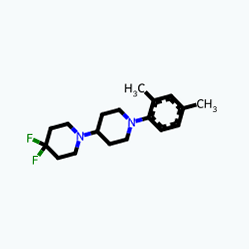 Cc1ccc(N2CCC(N3CCC(F)(F)CC3)CC2)c(C)c1